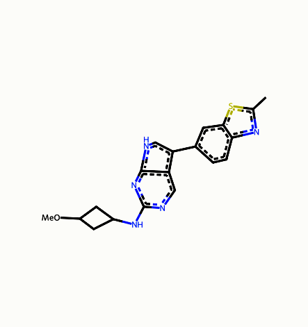 COC1CC(Nc2ncc3c(-c4ccc5nc(C)sc5c4)c[nH]c3n2)C1